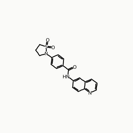 O=C(Nc1ccc2ncccc2c1)c1ccc(N2CCCS2(=O)=O)cc1